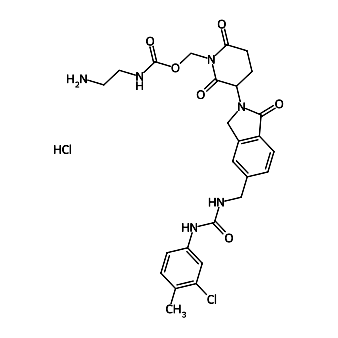 Cc1ccc(NC(=O)NCc2ccc3c(c2)CN(C2CCC(=O)N(COC(=O)NCCN)C2=O)C3=O)cc1Cl.Cl